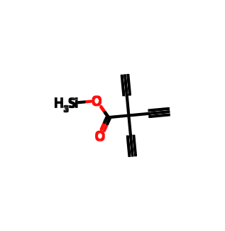 C#CC(C#C)(C#C)C(=O)O[SiH3]